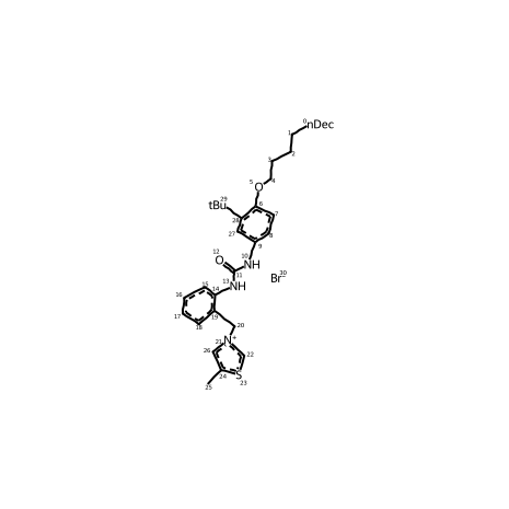 CCCCCCCCCCCCCCOc1ccc(NC(=O)Nc2ccccc2C[n+]2csc(C)c2)cc1C(C)(C)C.[Br-]